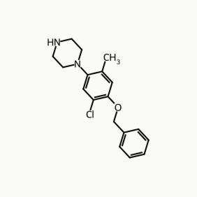 Cc1cc(OCc2ccccc2)c(Cl)cc1N1CCNCC1